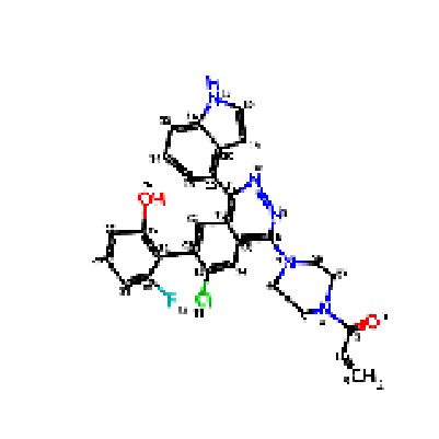 C=CC(=O)N1CCN(c2nnc(-c3cccc4[nH]ccc34)c3cc(-c4c(O)cccc4F)c(Cl)cc23)CC1